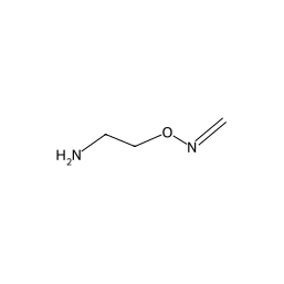 C=NOCCN